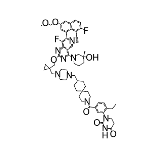 C#Cc1c(F)ccc2cc(OCOC)cc(-c3ncc4c(N5CCC[C@@](C)(O)C5)nc(OCC5(CN6CCN(CC7CCC8(CC7)CCN(C(=O)c7ccc(CC)c(N9CCC(=O)NC9=O)c7)CC8)CC6)CC5)nc4c3F)c12